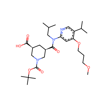 COCCCOc1cc(N(CC(C)C)C(=O)[C@@H]2C[C@H](C(=O)O)CN(C(=O)OC(C)(C)C)C2)ncc1C(C)C